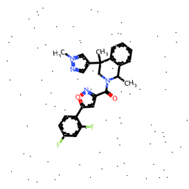 CC1c2ccccc2C(C)(c2cnn(C)c2)CN1C(=O)c1cc(-c2ccc(F)cc2F)on1